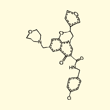 O=C(NCc1ccc(Cl)cc1)c1cn2c3c(cc(CN4CCOCC4)cc3c1=O)OC(c1ccoc1)C2